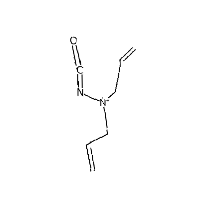 C=CC[N+](CC=C)N=C=O